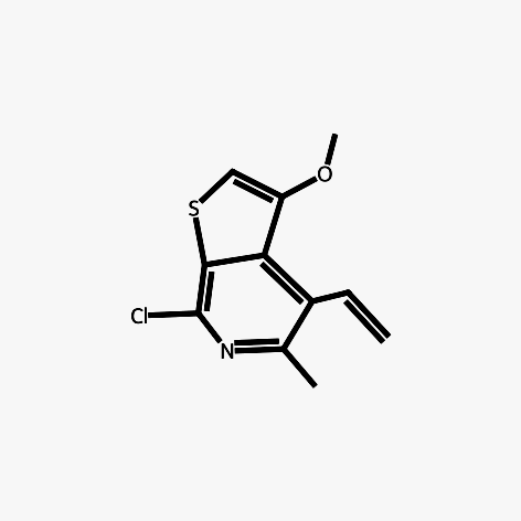 C=Cc1c(C)nc(Cl)c2scc(OC)c12